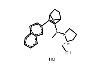 CN(C1=C(c2ccc3ccccc3c2)C2CCC1C2)N1CCC[C@@H]1CO.Cl